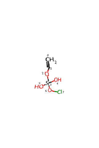 C=CO[Si](O)(O)OCl